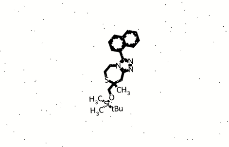 CC1(CO[Si](C)(C)C(C)(C)C)Cc2nnc(-c3cccc4ccccc34)n2CCS1